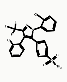 NS(=O)(=O)c1ccc(-c2c(-c3ccccc3Cl)c(C(F)(F)F)nn2-c2ccccc2Cl)cc1